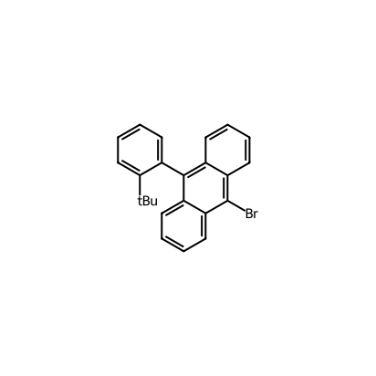 CC(C)(C)c1ccccc1-c1c2ccccc2c(Br)c2ccccc12